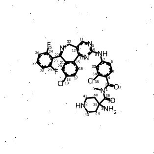 CN(C(=O)c1ccc(Nc2ncc3c(n2)-c2ccc(Cl)cc2C(c2c(F)cccc2F)=NC3)cc1Cl)C(=O)C1(N)CCNCC1